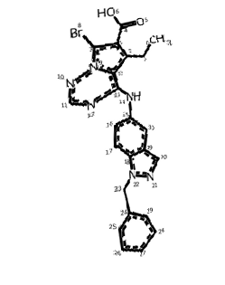 CCc1c(C(=O)O)c(Br)n2ncnc(Nc3ccc4c(cnn4Cc4ccccc4)c3)c12